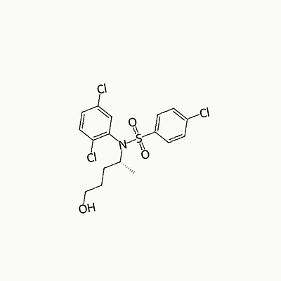 C[C@H](CCCO)N(c1cc(Cl)ccc1Cl)S(=O)(=O)c1ccc(Cl)cc1